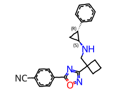 N#Cc1ccc(-c2nc(C3(CN[C@H]4C[C@@H]4c4ccccc4)CCC3)no2)cc1